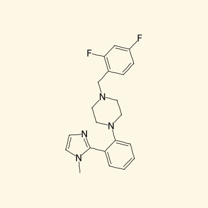 Cn1ccnc1-c1ccccc1N1CCN(Cc2ccc(F)cc2F)CC1